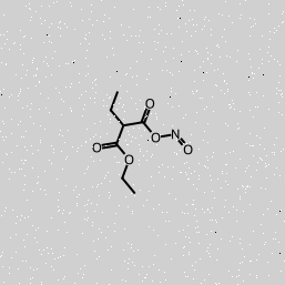 CCOC(=O)C(CC)C(=O)ON=O